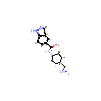 NC[C@H]1CC[C@H](NC(=O)c2ccc3[nH]ncc3c2)CC1